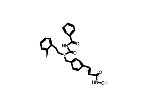 O=C(/C=C/c1ccc(CN(CCc2ccccc2F)C(=O)NC(=O)c2ccccc2)cc1)NO